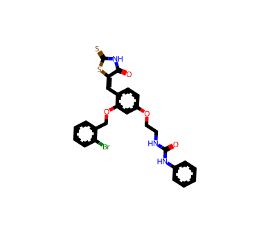 O=C(NCCOc1ccc(C=C2SC(=S)NC2=O)c(OCc2ccccc2Br)c1)Nc1ccccc1